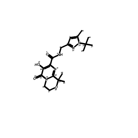 Cc1cc(CNC(=O)c2nc3n(c(=O)c2O)CCOC3(C)C)nn1C(C)(C)C